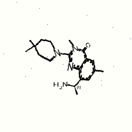 Cc1cc([C@@H](C)N)c2nc(N3CCC(C)(C)CC3)n(C)c(=O)c2c1